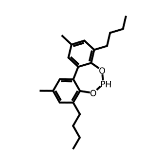 CCCCc1cc(C)cc2c1o[pH]oc1c(CCCC)cc(C)cc12